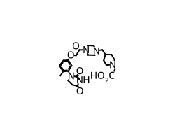 Cc1ccc(OCC(=O)N2CCN(CC3CCN(CC(=O)O)CC3)CC2)cc1N1CCC(=O)NC1=O